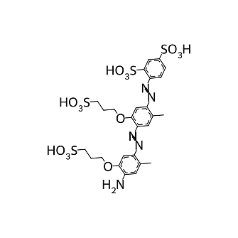 Cc1cc(N)c(OCCCS(=O)(=O)O)cc1N=Nc1cc(C)c(N=Nc2ccc(S(=O)(=O)O)cc2S(=O)(=O)O)cc1OCCCS(=O)(=O)O